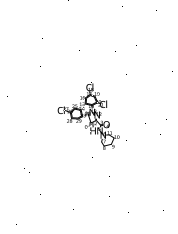 C[C@H]1C(C(=O)NN2CCCCC2)=NN(c2ccc(Cl)cc2Cl)[C@H]1c1ccc(Cl)cc1